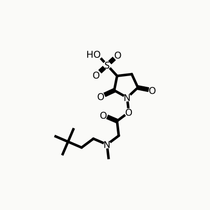 CN(CCC(C)(C)C)CC(=O)ON1C(=O)CC(S(=O)(=O)O)C1=O